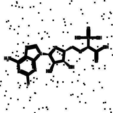 Nc1nc(F)nc2c1ncn2[C@@H]1O[C@H](CO[C@H](C(=O)O)P(=O)(O)O)[C@H](O)[C@H]1O